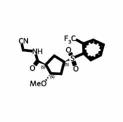 CO[C@H]1C[C@@H](S(=O)(=O)c2ccccc2C(F)(F)F)C[C@@H]1C(=O)NCC#N